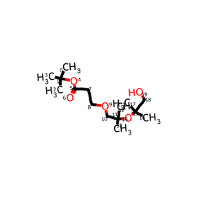 CC(C)(C)OC(=O)CCOCC(C)(C)OC(C)(C)CO